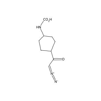 [N-]=[N+]=CC(=O)C1CCC(NC(=O)O)CC1